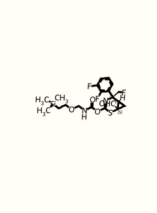 C[Si](C)(C)CCOCNC(=O)OC1=N[C@](CF)(c2cccc(F)c2F)[C@@H]2C[C@]2(C=O)S1